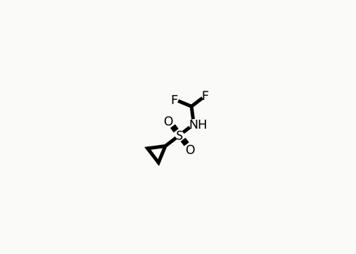 O=S(=O)(NC(F)F)C1CC1